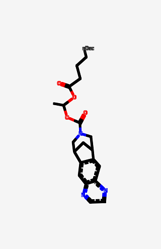 CCCCCCCCCCCCCC(=O)OC(C)OC(=O)N1CC2CC(C1)c1cc3nccnc3cc12